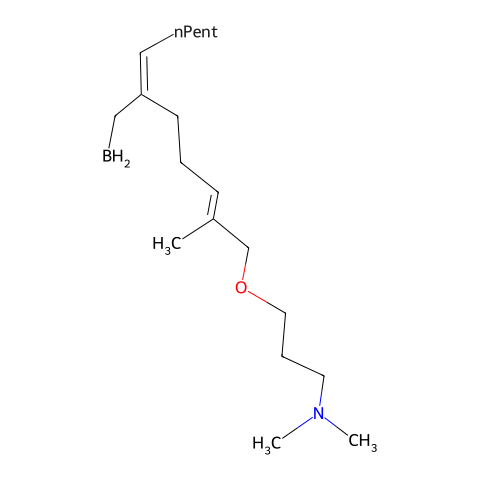 BC/C(=C/CCCCC)CC/C=C(\C)COCCCN(C)C